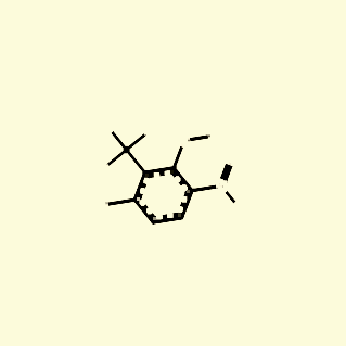 COc1c([N+](=O)[O-])ccc(Cl)c1C(F)(F)F